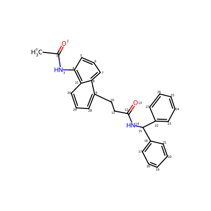 CC(=O)Nc1cccc2c(CCC(=O)NC(c3ccccc3)c3ccccc3)cccc12